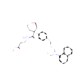 CCN(CCCc1ccc(C2(C(=O)NCCC(=O)OC)CCOCC2)cc1)c1cccc2ccccc12